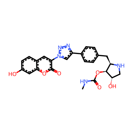 CNC(=O)O[C@@H]1[C@@H](O)CN[C@@H]1Cc1ccc(-c2cn(-c3cc4ccc(O)cc4oc3=O)nn2)cc1